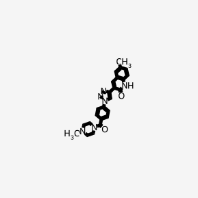 Cc1ccc2[nH]c(=O)c(-c3cn(-c4ccc(C(=O)N5CCN(C)CC5)cc4)nn3)cc2c1